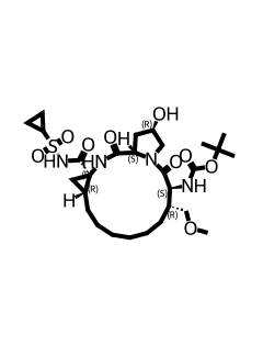 COC[C@@H]1CCCCCC[C@@H]2C[C@@]2(C(=O)NS(=O)(=O)C2CC2)NC(=O)[C@@H]2C[C@@H](O)CN2C(=O)[C@H]1NC(=O)OC(C)(C)C